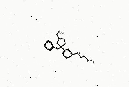 CC(C)(C)CN1CCC(Cc2ccccc2)(c2cccc(OCCN)c2)C1